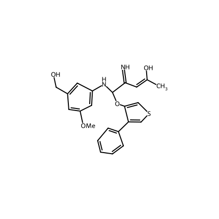 COc1cc(CO)cc(NC(Oc2cscc2-c2ccccc2)C(=N)/C=C(/C)O)c1